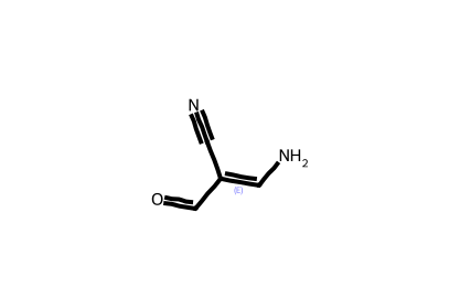 N#C/C(C=O)=C\N